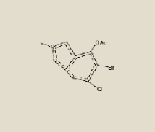 CC(=O)Oc1c(Br)c(Cl)cc2nn(C)cc12